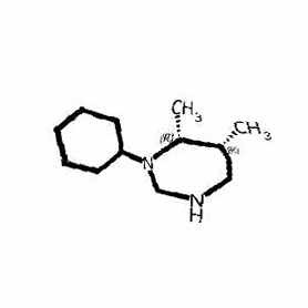 C[C@@H]1CNCN(C2CCCCC2)[C@@H]1C